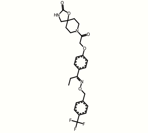 CCC(=NOCc1ccc(C(F)(F)F)cc1)c1ccc(OCC(=O)N2CCC3(CC2)CNC(=O)O3)cc1